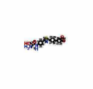 C[C@](N)(CO)C(=O)Nc1ccc(-c2csc(-c3ccc(-c4ccc5c(c4)OCO5)cc3)n2)cc1